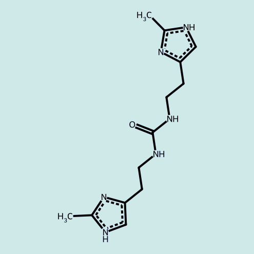 Cc1nc(CCNC(=O)NCCc2c[nH]c(C)n2)c[nH]1